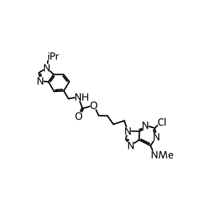 CNc1nc(Cl)nc2c1ncn2CCCCOC(=O)NCc1ccc2c(c1)ncn2C(C)C